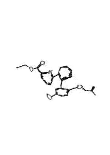 C=C(C)COc1ccc(Cl)cc1-c1ccccc1-c1cccc(C(=O)OCC)n1